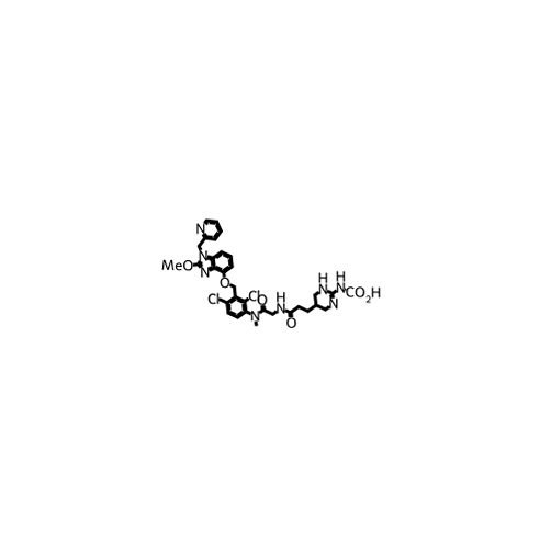 COc1nc2c(OCc3c(Cl)ccc(N(C)C(=O)CNC(=O)CCC4CN=C(NC(=O)O)NC4)c3Cl)cccc2n1Cc1ccccn1